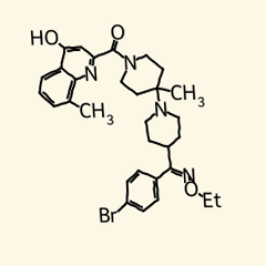 CCO/N=C(\c1ccc(Br)cc1)C1CCN(C2(C)CCN(C(=O)c3cc(O)c4cccc(C)c4n3)CC2)CC1